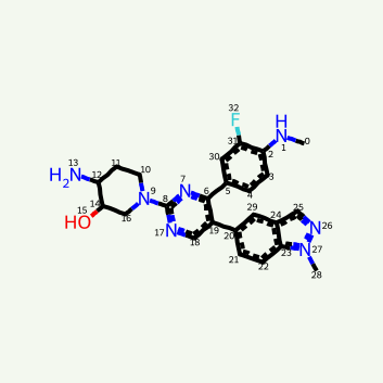 CNc1ccc(-c2nc(N3CCC(N)C(O)C3)ncc2-c2ccc3c(cnn3C)c2)cc1F